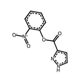 O=C(Oc1ccccc1[N+](=O)[O-])c1cc[nH]n1